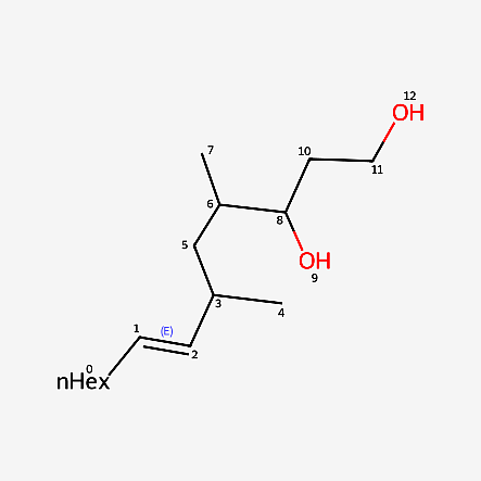 CCCCCC/C=C/C(C)CC(C)C(O)CCO